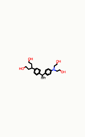 CCCC(c1ccc(C(CCO)CCO)cc1)c1ccc(N(CCO)CCO)cc1